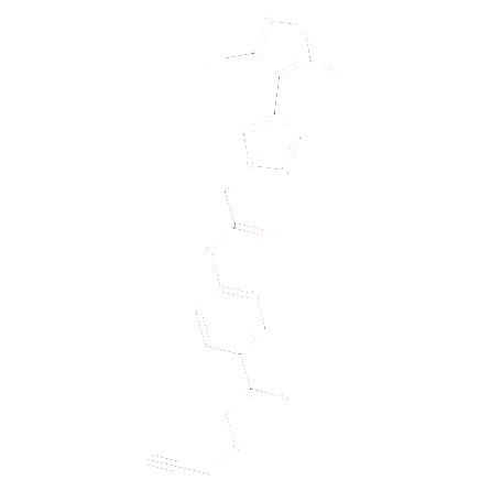 C#C/C=N\C=C(/N)c1ccc(NC(=O)Cn2cc(-c3c(C)noc3C)cn2)nc1